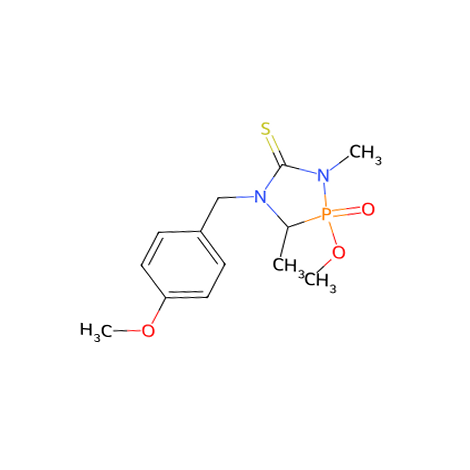 COc1ccc(CN2C(=S)N(C)P(=O)(OC)C2C)cc1